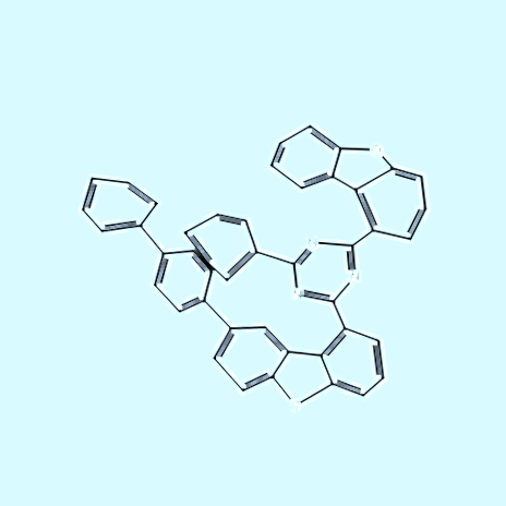 c1ccc(-c2ccc(-c3ccc4sc5cccc(-c6nc(-c7ccccc7)nc(-c7cccc8oc9ccccc9c78)n6)c5c4c3)cc2)cc1